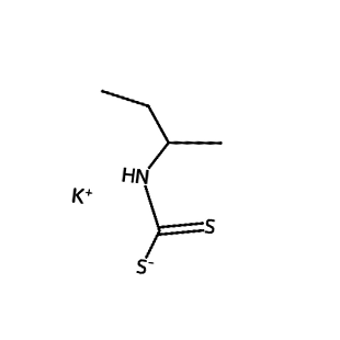 CCC(C)NC(=S)[S-].[K+]